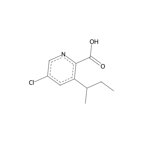 CCC(C)c1cc(Cl)cnc1C(=O)O